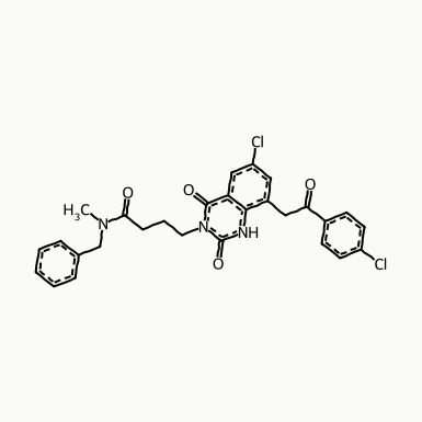 CN(Cc1ccccc1)C(=O)CCCn1c(=O)[nH]c2c(CC(=O)c3ccc(Cl)cc3)cc(Cl)cc2c1=O